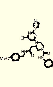 COc1ccc(CNC(=O)CC2CN(C(=O)Nc3ccccc3)CCN2c2cc(Cl)nc(-n3ccnc3)n2)cc1